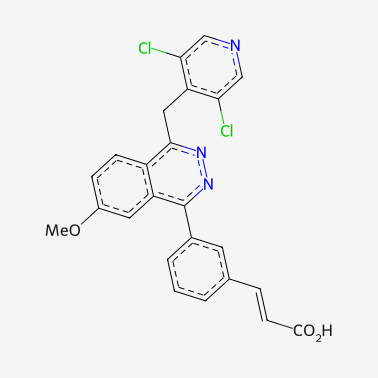 COc1ccc2c(Cc3c(Cl)cncc3Cl)nnc(-c3cccc(/C=C/C(=O)O)c3)c2c1